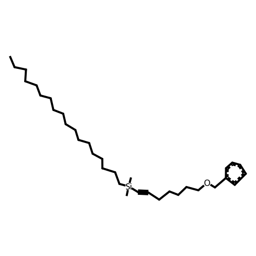 CCCCCCCCCCCCCCCCCC[Si](C)(C)C#CCCCCCOCc1ccccc1